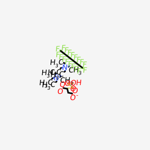 CC[N+](CC)(CC)CC.CC[N+](CC)(CC)CC.FC(F)(F)C(F)(F)C(F)(F)C(F)(F)C(F)(F)C(F)(F)C(F)(F)C(F)(F)F.O=C([O-])CC(C(=O)[O-])S(=O)(=O)O